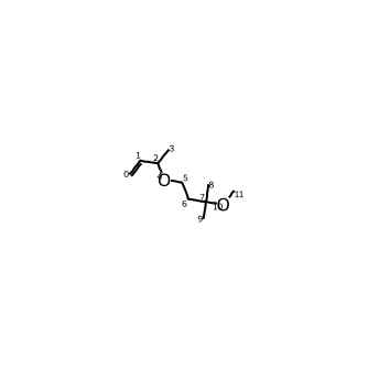 C=CC(C)OCCC(C)(C)OC